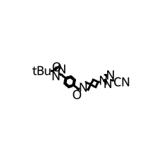 CC(C)(C)c1nc(-c2ccc(C(=O)N3CC4(CC(n5cnc(C#N)n5)C4)C3)cc2)no1